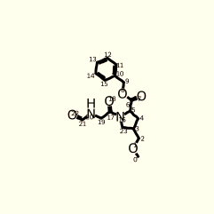 COCC1CC(C(=O)OCc2ccccc2)N(C(=O)CNC=O)C1